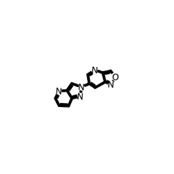 c1cnc2cn(-c3cnc4conc4c3)nc2c1